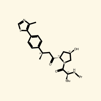 Cc1ncsc1-c1ccc([C@H](C)CC(=O)[C@@H]2C[C@@H](O)CN2C(=O)[C@@H](NC(C)C)C(C)(C)C)cc1